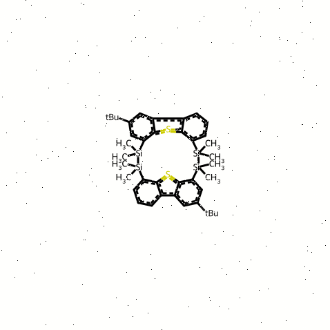 CC(C)(C)c1cc2c3sc4c(cccc4c3c1)[Si](C)(C)[Si](C)(C)c1cc(C(C)(C)C)cc3c1sc1c(cccc13)[Si](C)(C)[Si]2(C)C